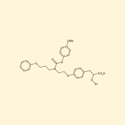 CCOC(Cc1ccc(OCCN(CCCSc2ccccc2)C(=O)Oc2ccc(OC)cc2)cc1)C(=O)O